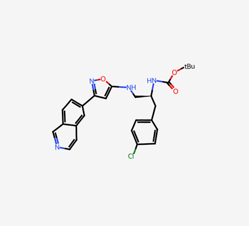 CC(C)(C)OC(=O)N[C@H](CNc1cc(-c2ccc3cnccc3c2)no1)Cc1ccc(Cl)cc1